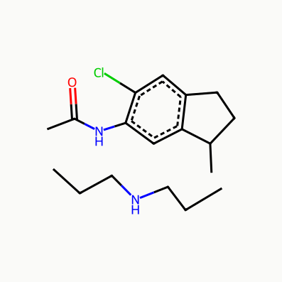 CC(=O)Nc1cc2c(cc1Cl)CCC2C.CCCNCCC